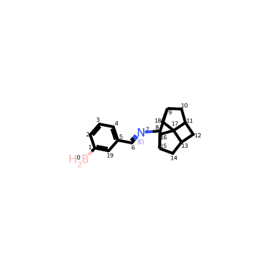 Bc1cccc(/C=N/C2C3CC4CC5CC2CC45C3)c1